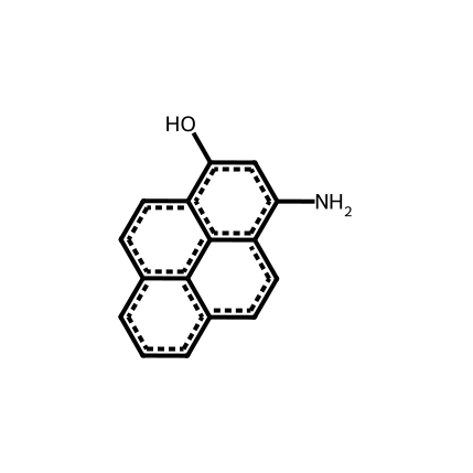 Nc1cc(O)c2ccc3cccc4ccc1c2c43